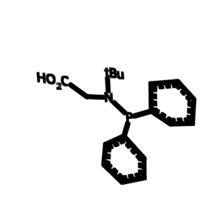 CC(C)(C)N(CC(=O)O)P(c1ccccc1)c1ccccc1